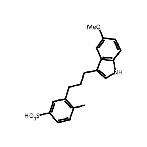 COc1ccc2[nH]cc(CCCc3cc(S(=O)(=O)O)ccc3C)c2c1